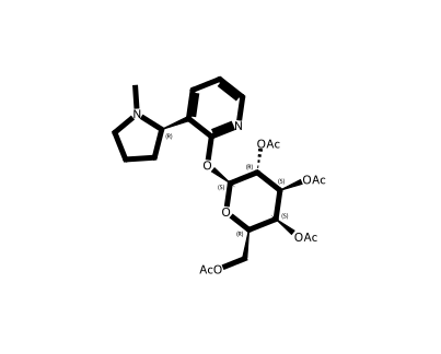 CC(=O)OC[C@H]1O[C@@H](Oc2ncccc2[C@H]2CCCN2C)[C@H](OC(C)=O)[C@@H](OC(C)=O)[C@H]1OC(C)=O